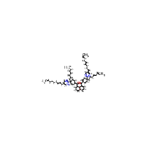 CCCCCCCCCc1cnc(C2(CCCCCCC)C=CC(C(OC(C3=CCC(CCCCCCC)(c4ncc(CCCCCCCCC)cn4)C=C3)c3ccccc3)c3ccccc3)=CC2)nc1